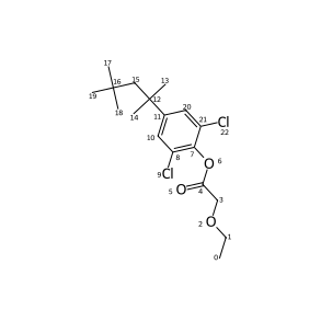 CCOCC(=O)Oc1c(Cl)cc(C(C)(C)CC(C)(C)C)cc1Cl